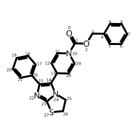 O=C(OCc1ccccc1)N1C=CC(c2c(-c3ccccc3)nc3n2CCS3)C=C1